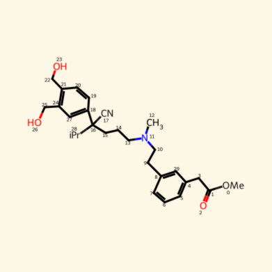 COC(=O)Cc1cccc(CCN(C)CCCC(C#N)(c2ccc(CO)c(CO)c2)C(C)C)c1